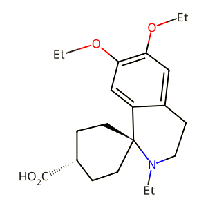 CCOc1cc2c(cc1OCC)[C@]1(CC[C@@H](C(=O)O)CC1)N(CC)CC2